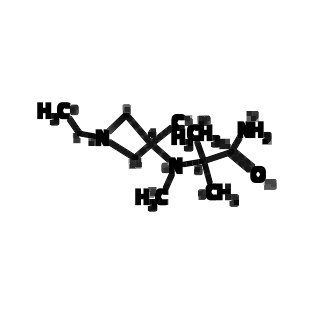 CCN1CC(C)(N(C)C(C)(C)C(N)=O)C1